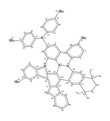 CC(C)(C)c1ccc(N2B3c4ccc(N(c5ccc(C(C)(C)C)cc5)c5ccc(C(C)(C)C)cc5)cc4-n4c5ccc(C(C)(C)C)cc5c5c6oc7ccccc7c6c(c3c54)-c3cc4c(cc32)C(C)(C)CCC4(C)C)cc1